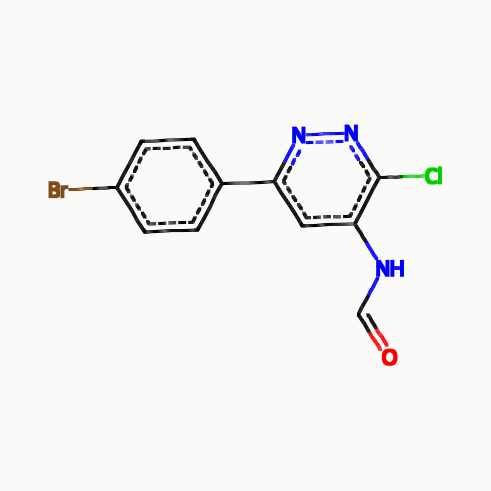 O=CNc1cc(-c2ccc(Br)cc2)nnc1Cl